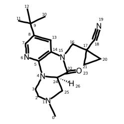 CN1CCN2c3ncc(C(C)(C)C)cc3N(CC3(C#N)CC3)C(=O)[C@H]2C1